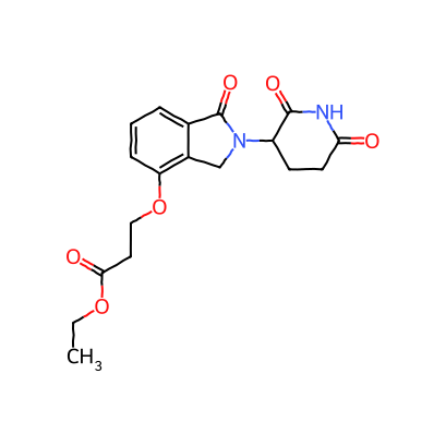 CCOC(=O)CCOc1cccc2c1CN(C1CCC(=O)NC1=O)C2=O